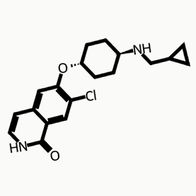 O=c1[nH]ccc2cc(O[C@H]3CC[C@H](NCC4CC4)CC3)c(Cl)cc12